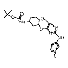 Cn1cc(Nc2ncc(Cl)c(OC3CCCC(NC(=O)OC(C)(C)C)C3)n2)cn1